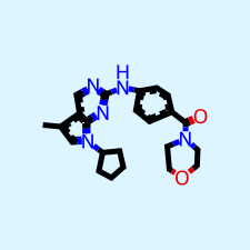 Cc1cn(C2CCCC2)c2nc(Nc3ccc(C(=O)N4CCOCC4)cc3)ncc12